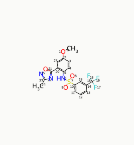 COc1ccc(NS(=O)(=O)c2cccc(C(F)(F)F)c2)c(-c2nc(C)no2)c1